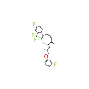 C=C1C=C=C/C(c2ccc(F)cc2C(F)(F)F)=C\CCC1/C=C(\C)COc1cccc(F)c1